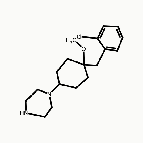 COC1(Cc2ccccc2Cl)CCC(N2CCNCC2)CC1